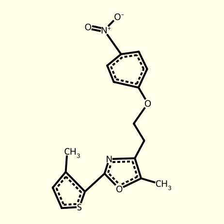 Cc1ccsc1-c1nc(CCOc2ccc([N+](=O)[O-])cc2)c(C)o1